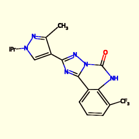 Cc1nn(C(C)C)cc1-c1nc2c3cccc(C(F)(F)F)c3[nH]c(=O)n2n1